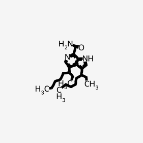 CCCCCC(CC)c1cnc(C(N)=O)c2[nH]cc(C(CC)CCCCC)c12